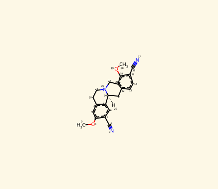 COc1cc2c(cc1C#N)[C@@H]1Cc3ccc(C#N)c(OC)c3CN1CC2